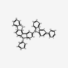 c1ccc(-c2ccc3c(c2)c2ccccc2n3-c2ccc3c(c2)c2c4sc5ccccc5c4ccc2n3-c2ccccc2)cc1